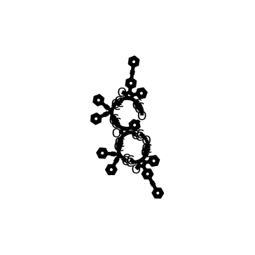 O=C1C(c2ccc(C#Cc3ccccc3)cc2)=C(c2ccccc2)C2=C1c1ccc(cc1)C(C#Cc1ccccc1)(C#Cc1ccccc1)c1ccc(cc1)C1=C(C3=C(C1=O)c1ccc(cc1)C(C#Cc1ccccc1)(C#Cc1ccccc1)c1ccc(cc1)C1=C(C(c4ccccc4)=C(c4ccc(C#Cc5ccccc5)cc4)C1=O)c1ccc(cc1)Oc1ccc3cc1)c1ccc(cc1)Oc1ccc2cc1